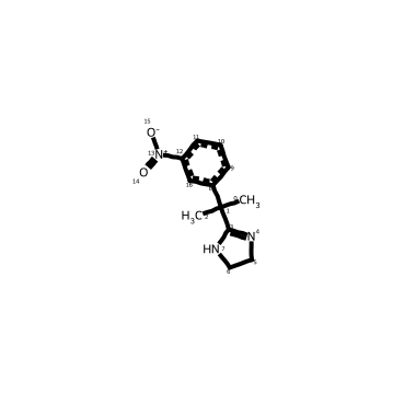 CC(C)(C1=NCCN1)c1cccc([N+](=O)[O-])c1